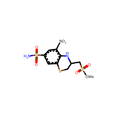 COS(=O)(=O)CC1CSc2cc(S(N)(=O)=O)cc([N+](=O)[O-])c2N1